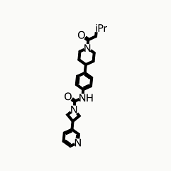 CC(C)CC(=O)N1CCC(c2ccc(NC(=O)N3CC(c4cccnc4)C3)cc2)CC1